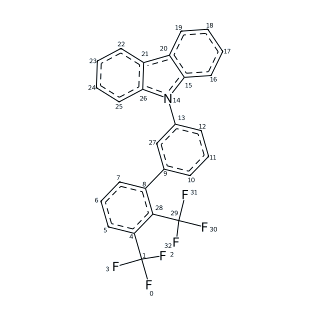 FC(F)(F)c1cccc(-c2cccc(-n3c4ccccc4c4ccccc43)c2)c1C(F)(F)F